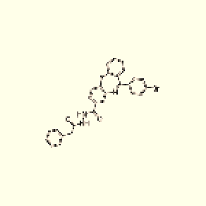 O=C(Cc1ccccc1)NNC(=O)c1ccc2c(c1)N=C(c1ccc(Br)cc1)c1ccccc1S2